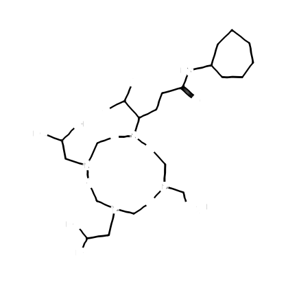 O=C(O)CN1CCN(CC(O)O)CCN(CC(O)O)CCN(C(CCC(=O)NC2CCCCCC2)C(O)O)CC1